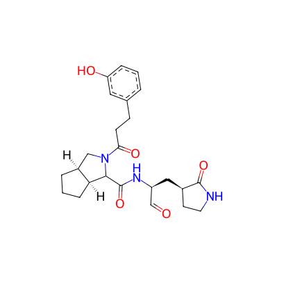 O=C[C@H](C[C@@H]1CCNC1=O)NC(=O)C1[C@H]2CCC[C@H]2CN1C(=O)CCc1cccc(O)c1